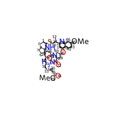 CC=C(NC1CCCC1)S/C=C(\C)c1cc(O[C@@H]2C[C@@H](C(N)=O)N(C(=O)CCCCCC/C=C\[C@@H]3C[C@@H]3C(=O)OC)C2)c2ccc(OC)cc2n1